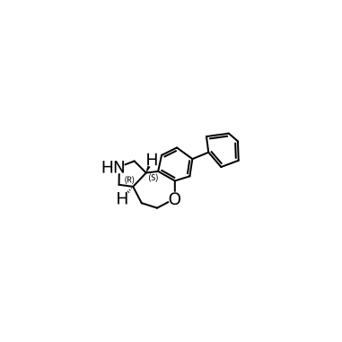 c1ccc(-c2ccc3c(c2)OCC[C@H]2CNC[C@H]32)cc1